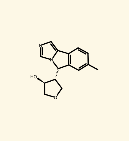 Cc1ccc2c(c1)C([C@@H]1COC[C@H]1O)n1cncc1-2